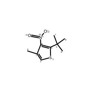 Cc1csc(C(C)(C)C)c1[N+](=O)[O-]